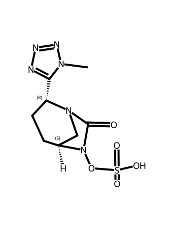 Cn1nnnc1[C@H]1CC[C@H]2CN1C(=O)N2OS(=O)(=O)O